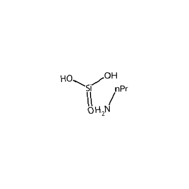 CCCN.O=[Si](O)O